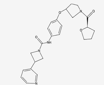 O=C(Nc1ccc(OC2CCN(C(=O)[C@H]3CCCO3)C2)cc1)N1CC(c2cccnc2)C1